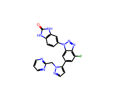 O=c1[nH]c2ccc(-n3nnc4c(F)cc(-c5ccnn5Cc5ncccn5)cc43)cc2[nH]1